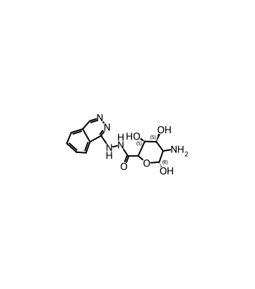 NC1[C@H](O)OC(C(=O)NNc2nncc3ccccc23)[C@@H](O)[C@H]1O